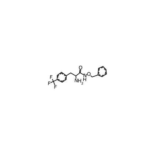 NC(Cc1ccc(C(F)(F)F)cc1)C(=O)NOCc1ccccc1